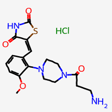 COc1cccc(/C=C2/SC(=O)NC2=O)c1N1CCN(C(=O)CCN)CC1.Cl